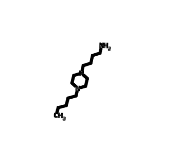 CCCCCN1CCN(CCCCN)CC1